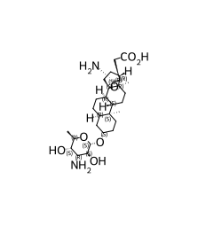 C[C@H]1O[C@H](O[C@H]2CC[C@@]3(C)[C@H](CC[C@@H]4[C@@H]3CC[C@]3(C)[C@@H]5CC[C@]43O[C@H](N)[C@@H]5CC(=O)O)C2)[C@@H](O)[C@H](N)[C@@H]1O